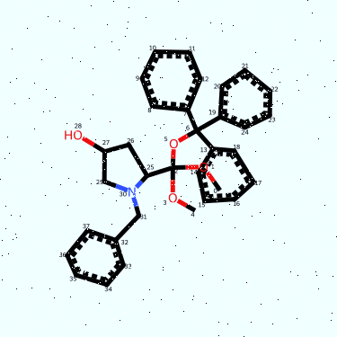 COC(OC)(OC(c1ccccc1)(c1ccccc1)c1ccccc1)C1CC(O)CN1Cc1ccccc1